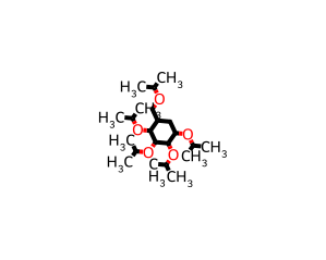 CC(C)OCC1CC(OC(C)C)C(OC(C)C)C(OC(C)C)C1OC(C)C